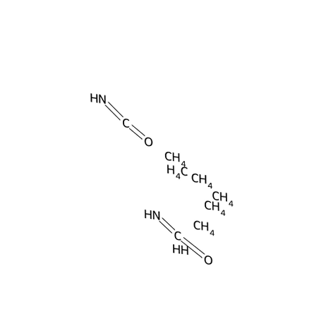 C.C.C.C.C.C.N=C=O.N=C=O.[HH]